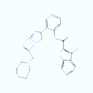 Cc1c(C(=O)Nc2ccccc2C2CN3C(CN4CCNCC4)=CSC3=N2)oc2ccccc12